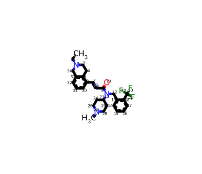 CCN1CCc2c(/C=C/C(=O)N(Cc3ccccc3C(F)(F)F)C3CCN(C)CC3)cccc2C1